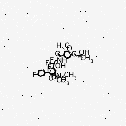 COc1cc(C(=O)NCC(O)(c2cc3c(c(-c4ccc(F)cc4)n2)OC[C@@]3(C)NC(C)=O)C(F)(F)F)ccc1OC[C@@H](C)O